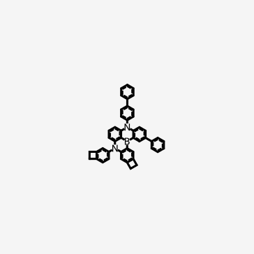 c1ccc(-c2ccc(N3c4ccc(-c5ccccc5)cc4B4c5cc6c(cc5N(c5ccc7c(c5)CC7)c5cccc3c54)CC6)cc2)cc1